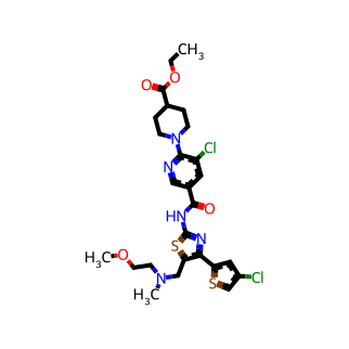 CCOC(=O)C1CCN(c2ncc(C(=O)Nc3nc(-c4cc(Cl)cs4)c(CN(C)CCOC)s3)cc2Cl)CC1